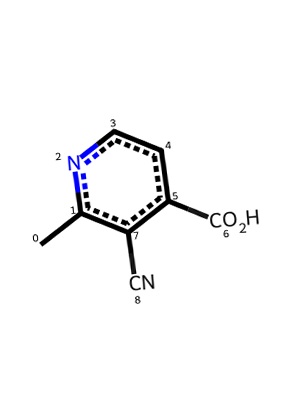 Cc1nccc(C(=O)O)c1C#N